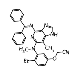 CCc1ccc(OCC#N)cc1N(C)c1nc(N=C(c2ccccc2)c2ccccc2)c2nc[nH]c2c1C